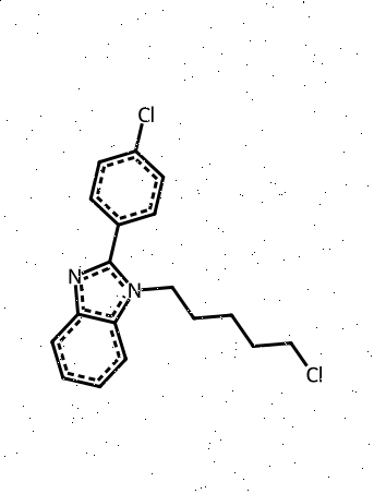 ClCCCCCn1c(-c2ccc(Cl)cc2)nc2ccccc21